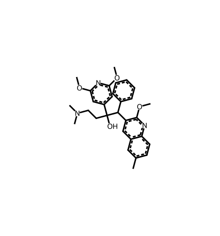 COc1cc(C(O)(CCN(C)C)C(c2ccccc2)c2cc3cc(C)ccc3nc2OC)cc(OC)n1